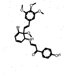 COc1cc(C=CC2(OC)C(Br)=CC=CC2NC=CC(=O)c2ccc(O)cc2)cc(OC)c1OC